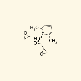 C(OCC1CO1)C1CO1.Cc1cccc(C)c1C